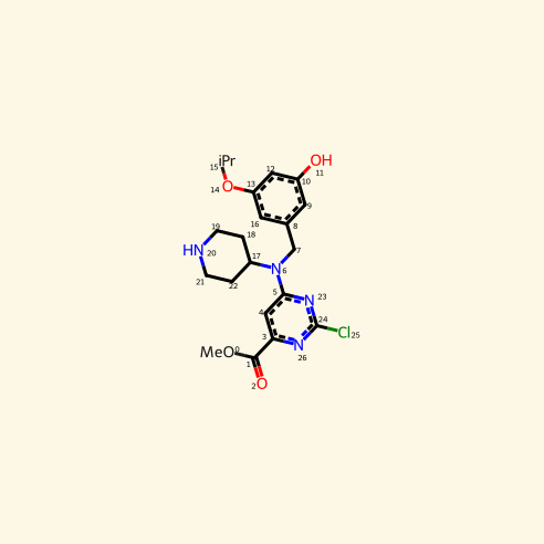 COC(=O)c1cc(N(Cc2cc(O)cc(OC(C)C)c2)C2CCNCC2)nc(Cl)n1